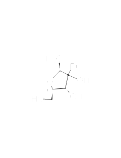 CCC1(O)[C@H](C)O[C@H](CO)[C@@H]1O